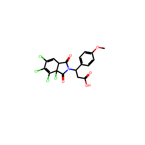 COc1ccc(C(CC(=O)O)N2C(=O)C3C=C(Cl)C(Cl)=C(Cl)C3(Cl)C2=O)cc1